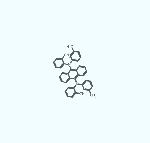 Cc1cccc(N(c2ccccc2C)c2c3ccccc3c(N(c3cccc(C)c3)c3ccccc3C)c3ccccc23)c1